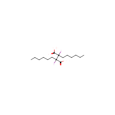 CCCCCCC(I)(C(=O)O)C(I)(CCCCCC)C(=O)O